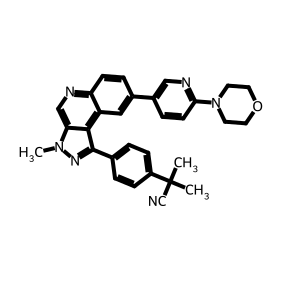 Cn1nc(-c2ccc(C(C)(C)C#N)cc2)c2c3cc(-c4ccc(N5CCOCC5)nc4)ccc3ncc21